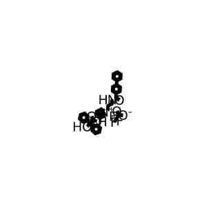 O=C(NCCC[N+]12CCC(CC1)[C@@H](OC(=O)C(O)(c1ccccc1)c1ccccc1)C2)c1ccc(-c2ccccc2)cc1.O=C([O-])C(F)(F)F